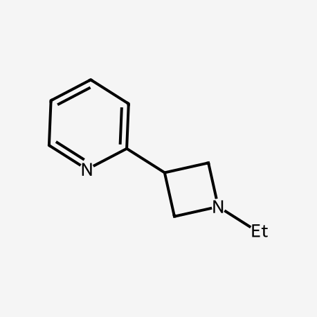 CCN1CC(c2ccccn2)C1